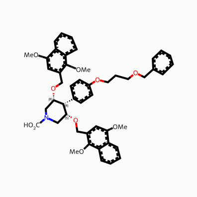 COc1cc(CO[C@H]2CN(C(=O)O)C[C@@H](OCc3cc(OC)c4ccccc4c3OC)[C@H]2c2ccc(OCCCOCc3ccccc3)cc2)c(OC)c2ccccc12